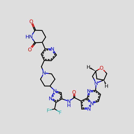 O=C1CCC(c2cc(CN3CCC(n4cc(NC(=O)c5cnn6ccc(N7C[C@H]8C[C@@H]7CO8)nc56)c(C(F)F)n4)CC3)ccn2)C(=O)N1